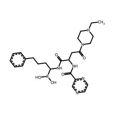 CCN1CCN(C(=O)CC(NC(=O)c2cnccn2)C(=O)NC(CCCc2ccccc2)B(O)O)CC1